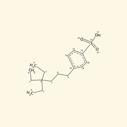 CCC(CC)(CC)CCCc1ccc(S(=O)(=O)O)cc1